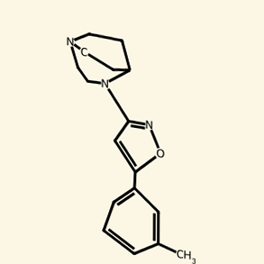 Cc1cccc(-c2cc(N3CCN4CCC3CC4)no2)c1